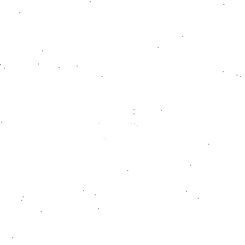 C(=N\C1CCCCC1)/c1ccc2c(c1)OCCC2